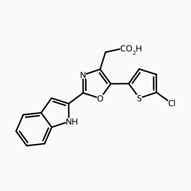 O=C(O)Cc1nc(-c2cc3ccccc3[nH]2)oc1-c1ccc(Cl)s1